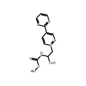 CC(C)(C)OC(=O)NC(C[n+]1ccc(-c2ncccn2)cn1)C(=O)[O-]